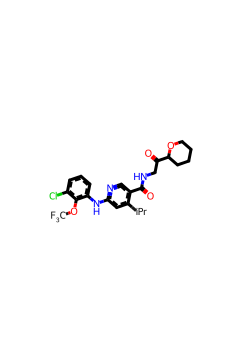 CC(C)c1cc(Nc2cccc(Cl)c2OC(F)(F)F)ncc1C(=O)NCC(=O)C1CCCCO1